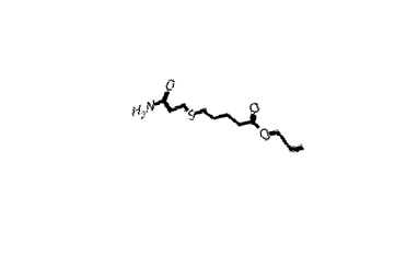 CCCOC(=O)CCCCSCCC(N)=O